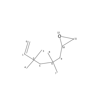 C=CC(C)(C)CC(C)(C)CC1CO1